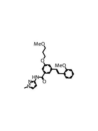 COCCCOc1cc(/C=C/c2ccccc2OC)cc(C(=O)Nc2ccn(C)n2)c1